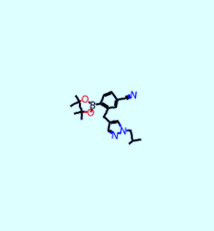 CC(C)Cn1cc(Cc2cc(C#N)ccc2B2OC(C)(C)C(C)(C)O2)cn1